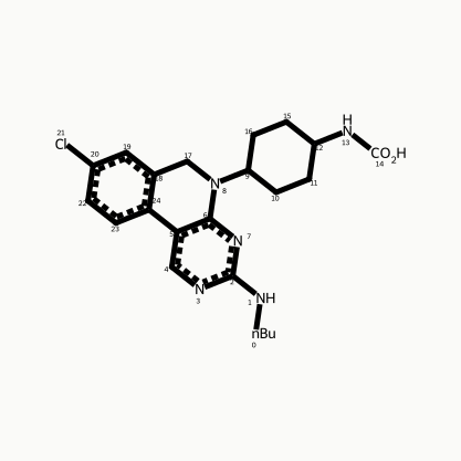 CCCCNc1ncc2c(n1)N(C1CCC(NC(=O)O)CC1)Cc1cc(Cl)ccc1-2